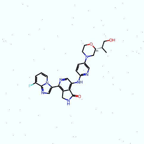 CC(CO)[C@@H]1CN(c2ccc(Nc3cnc(-c4cnc5c(F)cccn45)c4c3C(=O)NC4)nc2)CCO1